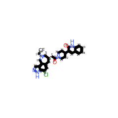 O=C(C[C@@H]1Cc2cc(Cl)c3[nH]ncc3c2CN(CC(F)(F)F)C1)N1CCC(c2cc3ccccc3[nH]c2=O)CC1